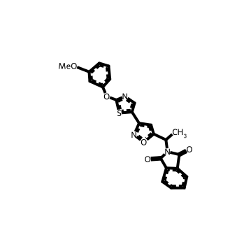 COc1cccc(Oc2ncc(-c3cc(C(C)N4C(=O)c5ccccc5C4=O)on3)s2)c1